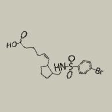 O=C(O)CCC/C=C\C1CCCC1CNS(=O)(=O)c1ccc(Br)cc1